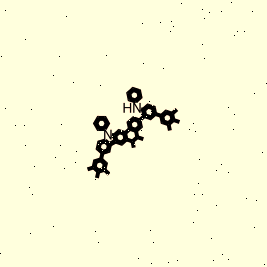 Cc1cc(-c2ccc(Nc3ccccc3)c(-c3ccc4c(c3)C(C)C(C)c3cc5c6cc(-c7cc(C)c(C)c(C)c7)ccc6n(-c6ccccc6)c5cc3-4)c2)cc(C)c1C